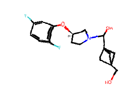 OCC12CC(C(O)N3CC[C@@H](Oc4cc(F)ccc4F)C3)(C1)C2